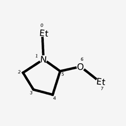 [CH2]CN1CCCC1OCC